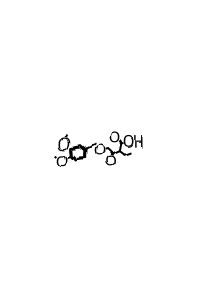 CCC(C(=O)O)C(=O)COCc1ccc(OC)c(OC)c1